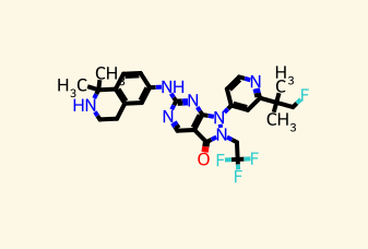 CC(C)(CF)c1cc(-n2c3nc(Nc4ccc5c(c4)CCNC5(C)C)ncc3c(=O)n2CC(F)(F)F)ccn1